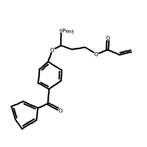 C=CC(=O)OCCC(CCCCC)Oc1ccc(C(=O)c2ccccc2)cc1